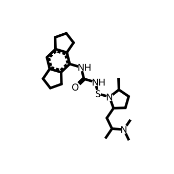 CC(CC1CCC(C)N1SNC(=O)Nc1c2c(cc3c1CCC3)CCC2)N(C)C